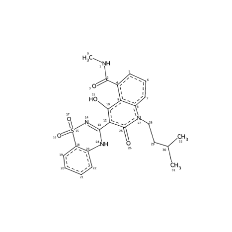 CNC(=O)c1cccc2c1c(O)c(C1=NS(=O)(=O)c3ccccc3N1)c(=O)n2CCC(C)C